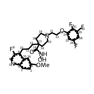 COc1ccc2ncc(F)c(CCCC3(C(=O)NO)CCN(CCOc4cc(F)cc(F)c4F)CC3)c2c1